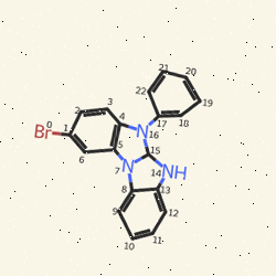 Brc1ccc2c(c1)N1c3ccccc3NC1N2c1ccccc1